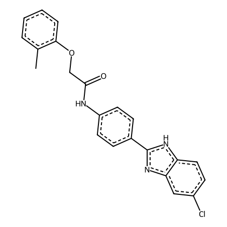 Cc1ccccc1OCC(=O)Nc1ccc(-c2nc3cc(Cl)ccc3[nH]2)cc1